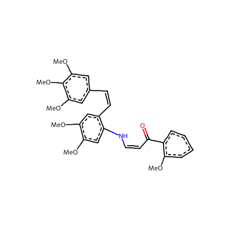 COc1cc(/C=C\c2cc(OC)c(OC)c(OC)c2)c(N/C=C\C(=O)c2ccccc2OC)cc1OC